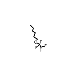 CCCCC[CH]OC(F)(F)C(F)F